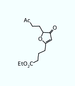 CCOC(=O)CCCC1=CC(=O)C(CCC(C)=O)O1